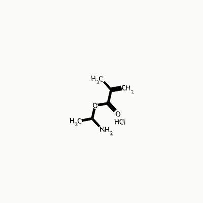 C=C(C)C(=O)OC(C)N.Cl